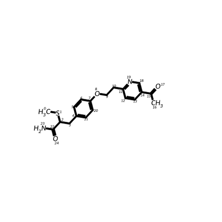 CSC(Cc1ccc(OCCc2ccc(C(C)=O)cn2)cc1)C(N)=O